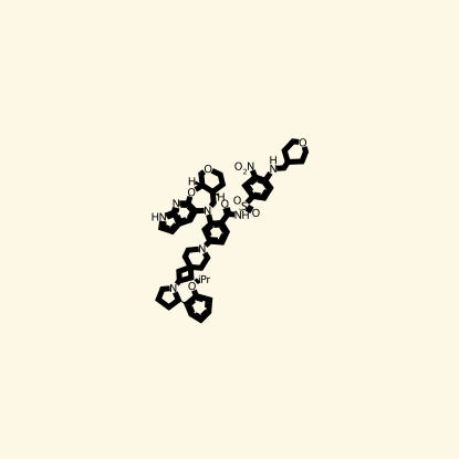 CC(C)Oc1ccccc1[C@@H]1CCCN1C1CC2(CCN(c3ccc(C(=O)NS(=O)(=O)c4ccc(NCC5CCOCC5)c([N+](=O)[O-])c4)c(N4C[C@@H]5CCOC[C@H]5Oc5nc6[nH]ccc6cc54)c3)CC2)C1